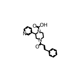 O=C(C=Cc1ccccc1)N1CCN(C(=O)O)C(c2cccnc2)C1